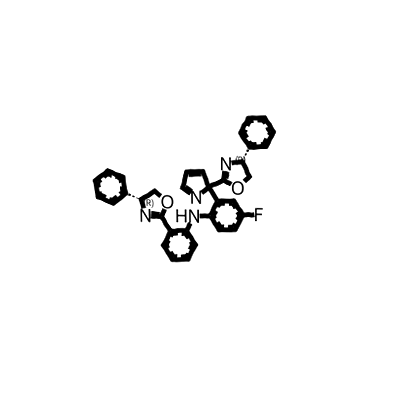 Fc1ccc(Nc2ccccc2C2=N[C@H](c3ccccc3)CO2)c(C2(C3=N[C@H](c4ccccc4)CO3)C=CC=N2)c1